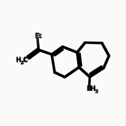 BC1=CCCCC2=C1CCC(C(=C)CC)=C2